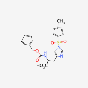 Cc1ccc(S(=O)(=O)n2cnc(C[C@H](NC(=O)OCc3ccccc3)C(=O)O)c2)cc1